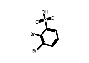 O=S(=O)(O)c1cccc(Br)c1Br